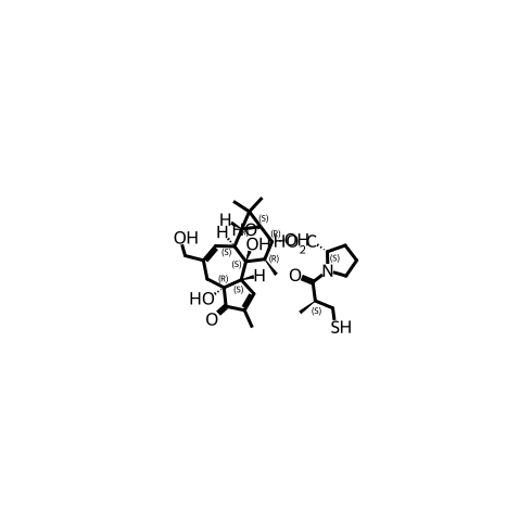 CC1=C[C@H]2[C@@]3(O)[C@H](C)[C@@H](O)[C@]4(O)[C@H]([C@@H]3C=C(CO)C[C@]2(O)C1=O)C4(C)C.C[C@H](CS)C(=O)N1CCC[C@H]1C(=O)O